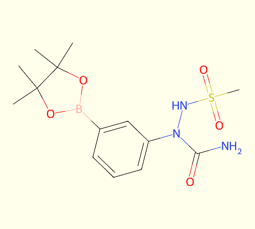 CC1(C)OB(c2cccc(N(NS(C)(=O)=O)C(N)=O)c2)OC1(C)C